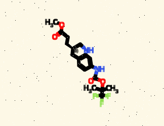 COC(=O)CC[C@H]1CNc2cc(NC(=O)OC(C)(C)C(F)(F)F)ccc2C1